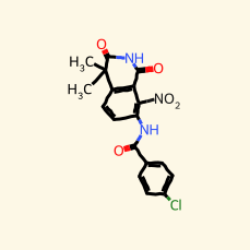 CC1(C)C(=O)NC(=O)c2c1ccc(NC(=O)c1ccc(Cl)cc1)c2[N+](=O)[O-]